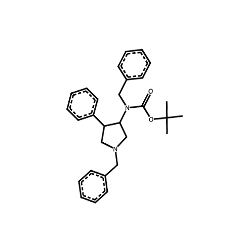 CC(C)(C)OC(=O)N(Cc1ccccc1)C1CN(Cc2ccccc2)CC1c1ccccc1